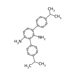 CC(C)c1ccc(-c2ccc(N)c(-c3ccc(C(C)C)cc3)c2N)cc1